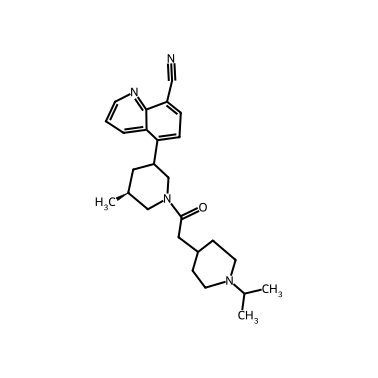 CC(C)N1CCC(CC(=O)N2CC(c3ccc(C#N)c4ncccc34)C[C@H](C)C2)CC1